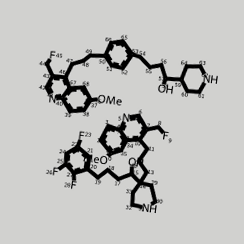 COc1ccc2ncc(CF)c(CCCC3(C(O)CCCc4cc(F)cc(F)c4F)CCNCC3)c2c1.COc1ccc2ncc(CF)c(CCCc3ccc(CCCC(O)C4CCNCC4)cc3)c2c1